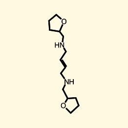 C(=C\CNCC1CCCO1)/CNCC1CCCO1